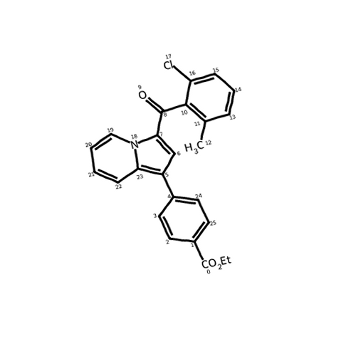 CCOC(=O)c1ccc(-c2cc(C(=O)c3c(C)cccc3Cl)n3ccccc23)cc1